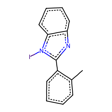 Cc1ccccc1-c1nc2ccccc2n1I